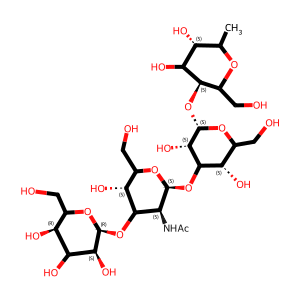 CC(=O)N[C@H]1C(O[C@@H]2OC(CO)[C@H](O)C(O)[C@@H]2O)[C@H](O)C(CO)O[C@H]1OC1[C@@H](O)C(CO)O[C@@H](O[C@@H]2C(CO)OC(C)[C@@H](O)C2O)[C@H]1O